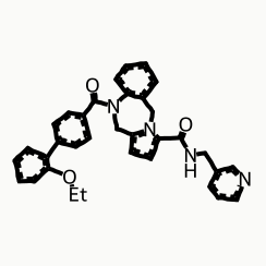 CCOc1ccccc1-c1ccc(C(=O)N2Cc3ccc(C(=O)NCc4cccnc4)n3Cc3ccccc32)cc1